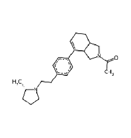 CC(=O)N1CC2CCC=C(c3ccc(CCN4CCC[C@@H]4C)cc3)C2C1